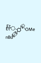 CCCCN1CCN(c2ccc(N3CCCC3COC)cc2C2CCC(CC)(CC)CC2)CC1